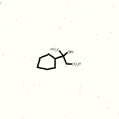 O=C(O)[CH]C(O)(C(=O)O)C1CCCCC1